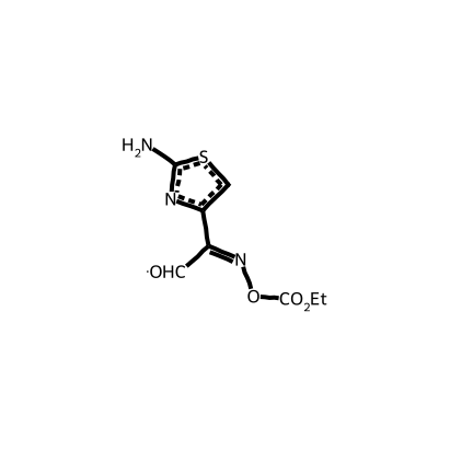 CCOC(=O)ON=C([C]=O)c1csc(N)n1